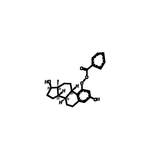 C[C@]12CC[C@@H]3c4c(cc(O)cc4OOC(=O)c4ccccc4)CC[C@H]3[C@@H]1CC[C@H]2O